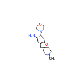 CN1CCC2(CC1)Cc1cc(N)c(N3CCOCC3)cc1O2